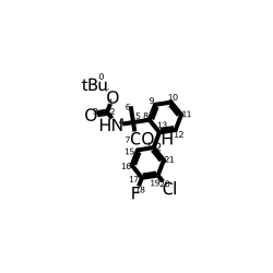 CC(C)(C)OC(=O)NC(C)(C(=O)O)c1ccccc1-c1ccc(F)c(Cl)c1